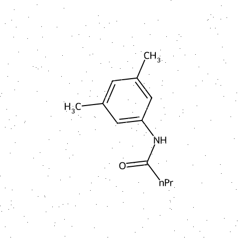 CCCC(=O)Nc1cc(C)cc(C)c1